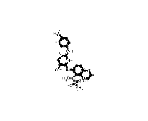 Cc1ccc(Nc2ncc(Br)c(Nc3ccc4nccnc4c3N(C)S(C)(=O)=O)n2)cn1